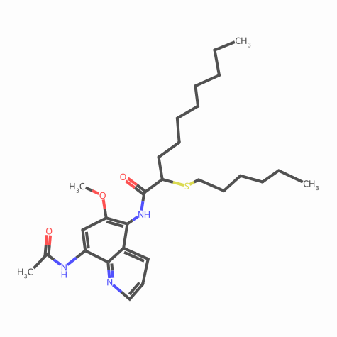 CCCCCCCCC(SCCCCCC)C(=O)Nc1c(OC)cc(NC(C)=O)c2ncccc12